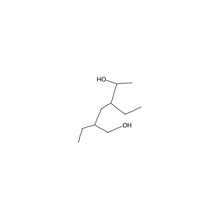 CCC(CO)CC(CC)C(C)O